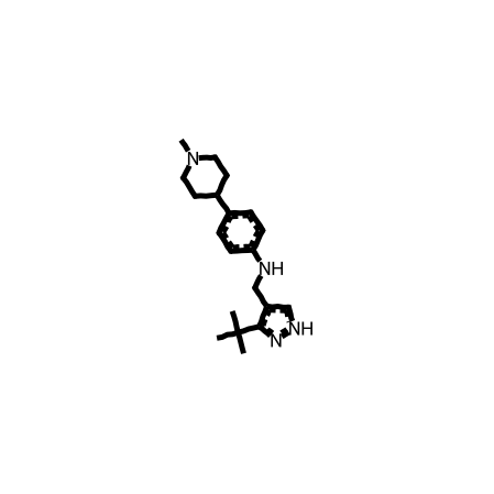 CN1CCC(c2ccc(NCc3c[nH]nc3C(C)(C)C)cc2)CC1